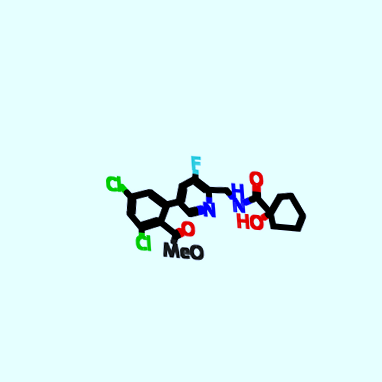 COC(=O)c1c(Cl)cc(Cl)cc1-c1cnc(CNC(=O)C2(O)CCCCC2)c(F)c1